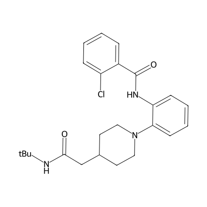 CC(C)(C)NC(=O)CC1CCN(c2ccccc2NC(=O)c2ccccc2Cl)CC1